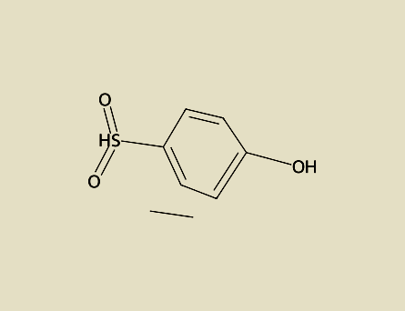 CC.O=[SH](=O)c1ccc(O)cc1